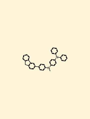 CN(c1ccc(-c2ccc3c(c2)-c2ccccc2C3)cc1)c1ccc(N(c2ccccc2)c2ccccc2)cc1